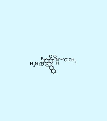 CCOCCCNC(=O)c1cn2c3c(c(N4CCC(N)C4)c(F)cc3c1=O)Oc1cc3ccccc3cc1-2